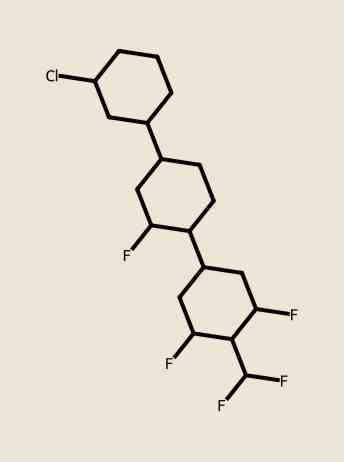 FC(F)C1C(F)CC(C2CCC(C3CCCC(Cl)C3)CC2F)CC1F